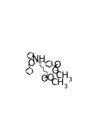 CCOC(=O)CCCCC(CNc1ccccc1OCc1ccccc1)Cc1ccc(C(=O)OCC)cc1